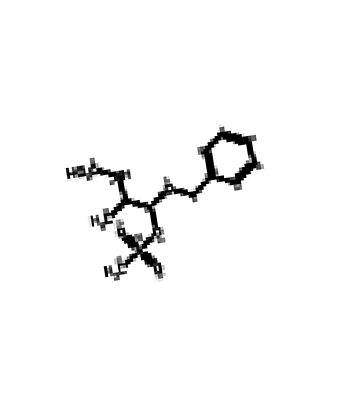 CC(NC(=O)O)[C@@H](OCc1ccccc1)OS(C)(=O)=O